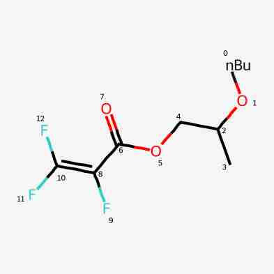 CCCCOC(C)COC(=O)C(F)=C(F)F